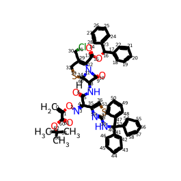 C=C(O/N=C(\C(=O)NC1C(=O)N2C(C(=O)OC(c3ccccc3)c3ccccc3)=C(CCl)CS[C@H]12)c1csc(NC(c2ccccc2)(c2ccccc2)c2ccccc2)n1)C(=O)OC(C)(C)C